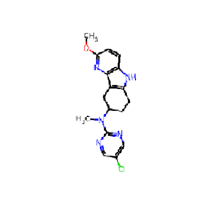 COc1ccc2[nH]c3c(c2n1)CC(N(C)c1ncc(Cl)cn1)CC3